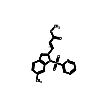 COC(=O)/C=C/c1cc2ccc(C)cc2n1S(=O)(=O)c1ccccn1